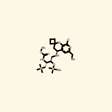 CC(C)(C)Cc1cc2c(c(Cl)n1)OC1(CCC1)C[C@@H]2NC[C@@H](O[Si](C)(C)C(C)(C)C)[C@H](C[Si](C)(C)C)NC(=O)OC(C)(C)C